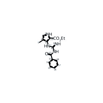 CCOC(=O)c1[nH]cc(C)c1NC(=N)NC(=O)c1ccccc1